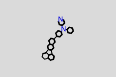 C1=C2c3cc4ccc(-c5ccc(N(c6ccccc6)c6ccncc6)cc5)cc4cc3-c3cccc(c32)CC1